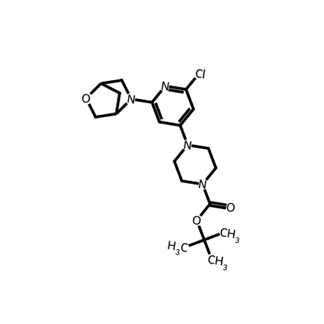 CC(C)(C)OC(=O)N1CCN(c2cc(Cl)nc(N3CC4CC3CO4)c2)CC1